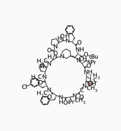 CC(C)C[C@H]1C(=O)N(C)[C@H]2CC(=O)N3CCC[C@@H]3C(=O)N[C@@H](Cc3ccccc3)C(=O)N[C@@H](COC(C)(C)C)/C(=C3\CCCN(C3)C2=O)N(C)[C@@H](CC(C)C)C(=O)N[C@]2(C[C@@]2(C)O)C(=O)N(C)CC(=O)N(C)[C@@H](C(C)C)C(=O)N[C@@H](Cc2ccccc2)C(=O)N(C)[C@@H](Cc2cccc(Cl)c2)C(=O)N1C